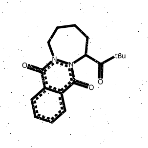 CC(C)(C)C(=O)C1CCCCn2c(=O)c3ccccc3c(=O)n21